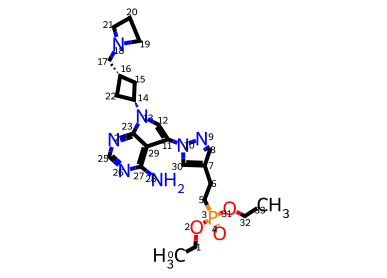 CCOP(=O)(CCc1cnn(-c2cn([C@H]3C[C@@H](CN4CCC4)C3)c3ncnc(N)c23)c1)OCC